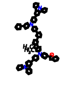 CC1(C)c2ccc(-c3cccc(-c4ccc(N(c5ccc(-c6ccccc6)cc5)c5ccc(-c6cc7c8ccccc8n8c9ccccc9c(c6)c78)cc5)cc4)c3)cc2-c2ccc(N(c3ccc(-c4ccc5c(c4)c4ccccc4n5-c4ccccc4)cc3)c3ccc(-c4cc5ccccc5o4)cc3)cc21